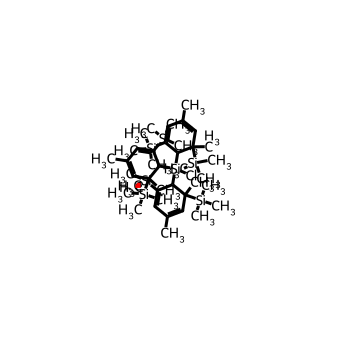 CC1=CC(C)([Si](C)(C)C)C([Si](Cl)(C2C([Si](C)(C)C)=CC(C)=CC2(C)[Si](C)(C)C)C2C([Si](C)(C)C)=CC(C)=CC2(C)[Si](C)(C)C)C([Si](C)(C)C)=C1